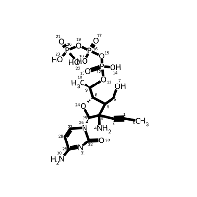 CC#CC1(N)C(CO)[C@@H]([C@@H](C)OP(=O)(O)OP(=O)(O)OP(=O)(O)O)O[C@H]1n1ccc(N)nc1=O